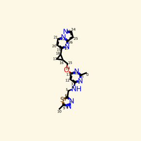 Cc1nc(NCc2nnc(C)s2)cc(OCC2CC2c2ccn3nccc3n2)n1